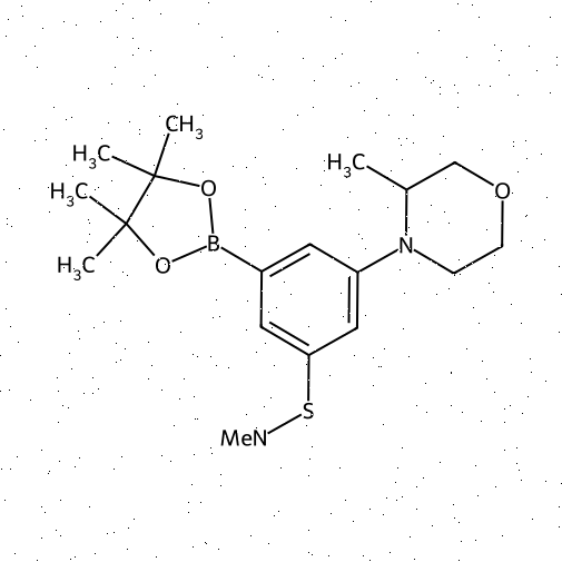 CNSc1cc(B2OC(C)(C)C(C)(C)O2)cc(N2CCOCC2C)c1